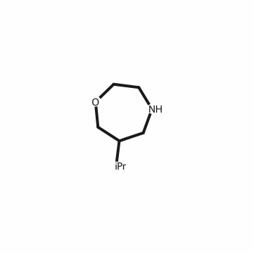 CC(C)C1CNCCOC1